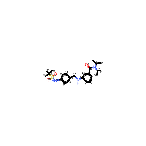 CC(C)N(C(=O)c1cccc(NCc2ccc(NS(=O)(=O)C(C)(C)C)cc2)c1)C(C)C